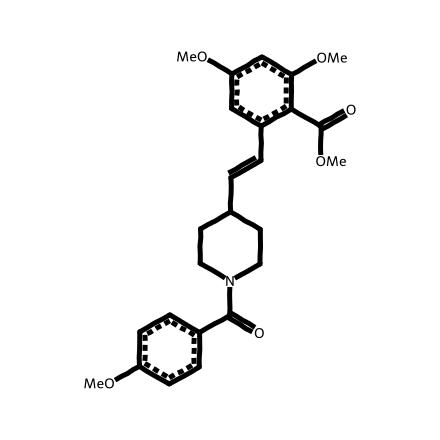 COC(=O)c1c(C=CC2CCN(C(=O)c3ccc(OC)cc3)CC2)cc(OC)cc1OC